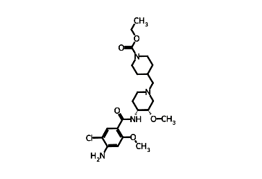 CCOC(=O)N1CCC(CN2CC[C@@H](NC(=O)c3cc(Cl)c(N)cc3OC)[C@@H](OC)C2)CC1